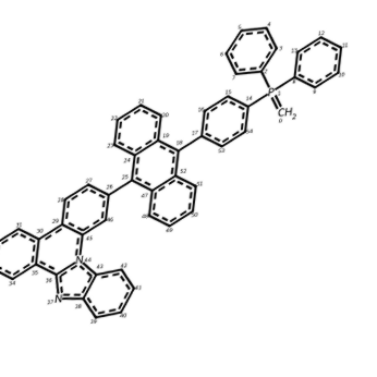 C=P(c1ccccc1)(c1ccccc1)c1ccc(-c2c3ccccc3c(-c3ccc4c5ccccc5c5nc6ccccc6n5c4c3)c3ccccc23)cc1